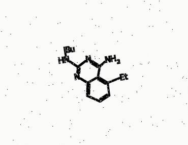 CCc1cccc2nc(NC(C)CC)nc(N)c12